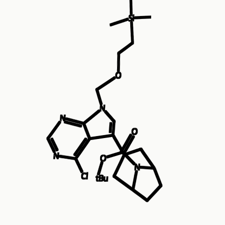 CC(C)(C)OC(=O)N1C2CCC1CC(c1cn(COCC[Si](C)(C)C)c3ncnc(Cl)c13)C2